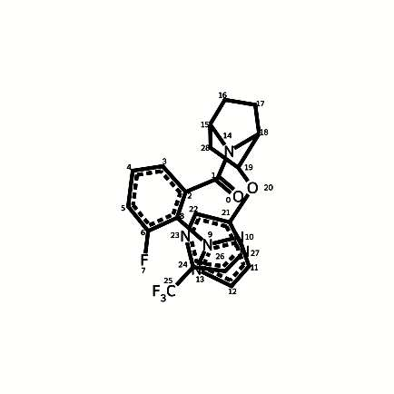 O=C(c1cccc(F)c1-n1nccn1)N1C2CCC1C(Oc1cnc(C(F)(F)F)cn1)C2